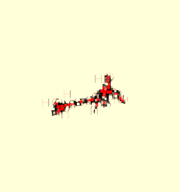 CCCCCCCCN(CCC[C@@H](C)[C@H]1CC[C@H]2C3[C@H](OCCCNC(C)=O)CC[C@](C)(CC[C@H](CC)OCCCNC(C)=O)[C@H]3C[C@H](OCCCNC(C)=O)[C@]12C)C(=O)NCCOCCOCCOCCOCCNC(=O)CN1CCN(CC(=O)O)CN(CC(=O)O)C1